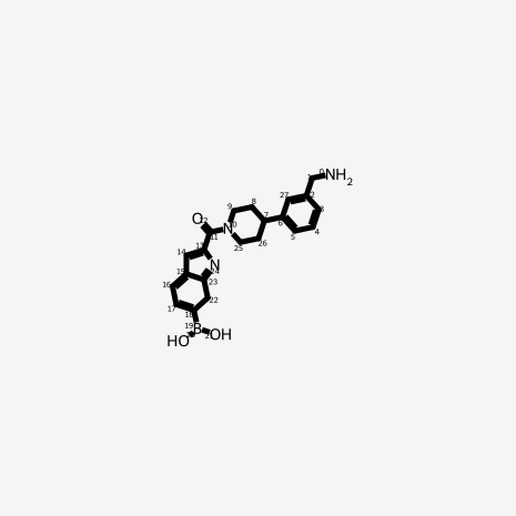 NCc1cccc(C2CCN(C(=O)C3=CC4=CC=C(B(O)O)CC4=N3)CC2)c1